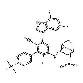 CC(C)(C)c1ccc(-c2c(F)c(NC3C4CCC(CC4)C3C(=O)O)nc(-c3c[nH]c4c(F)cc(F)cc34)c2C#N)cc1